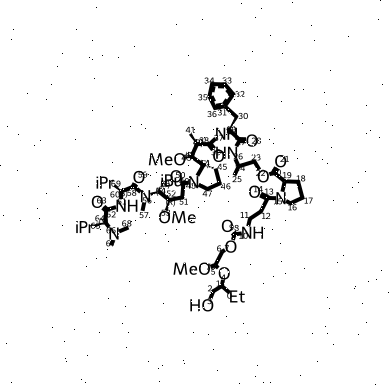 CCC(CO)OC(COC(=O)NCCC(=O)N1CCCC1C(=O)OCC(C)NC(=O)[C@H](Cc1ccccc1)NC(=O)[C@H](C)[C@@H](OC)[C@@H]1CCCN1C(=O)C[C@@H](OC)[C@H]([C@@H](C)CC)N(C)C(=O)[C@@H](NC(=O)[C@H](C(C)C)N(C)C)C(C)C)OC